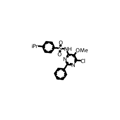 COc1c(Cl)nc(-c2ccccc2)nc1NS(=O)(=O)c1ccc(C(C)C)cc1